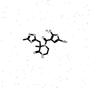 Cc1noc(CC2(C)C(=O)NCCN2C(=O)c2cc(C(C)(C)C)sc2N)n1